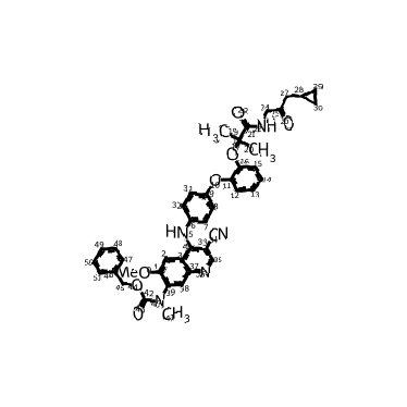 COc1cc2c(Nc3ccc(Oc4ccccc4OC(C)(C)C(=O)NCC(=O)CC4CC4)cc3)c(C#N)cnc2cc1N(C)C(=O)OCc1ccccc1